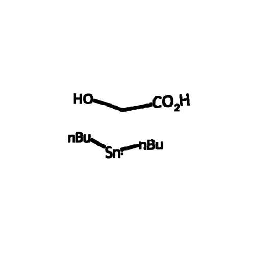 CCC[CH2][Sn][CH2]CCC.O=C(O)CO